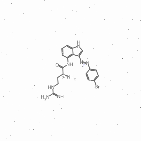 N=C(N)NCC[C@H](N)C(=O)Nc1cccc2[nH]cc(/N=N/c3ccc(Br)cc3)c12